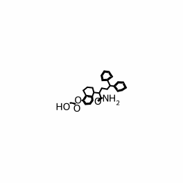 NC(=O)C(CCC(c1ccccc1)c1ccccc1)C1CCCc2c(OC(=O)CO)cccc21